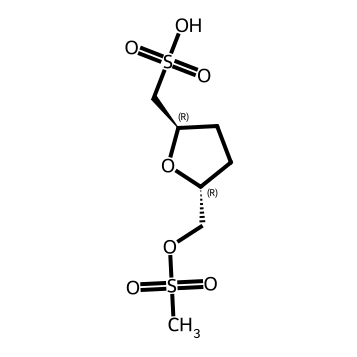 CS(=O)(=O)OC[C@H]1CC[C@H](CS(=O)(=O)O)O1